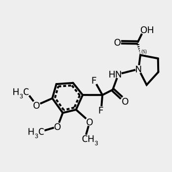 COc1ccc(C(F)(F)C(=O)NN2CCC[C@H]2C(=O)O)c(OC)c1OC